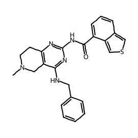 CN1CCc2nc(NC(=O)c3cccc4cscc34)nc(NCc3ccccc3)c2C1